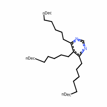 CCCCCCCCCCCCCCCc1n[c]nc(CCCCCCCCCCCCCCC)c1CCCCCCCCCCCCCCC